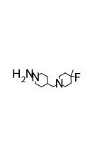 CC1(F)CCN(CC2CCN(N)CC2)CC1